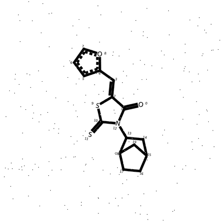 O=C1C(=Cc2ccco2)SC(=S)N1C1CC2CCC1C2